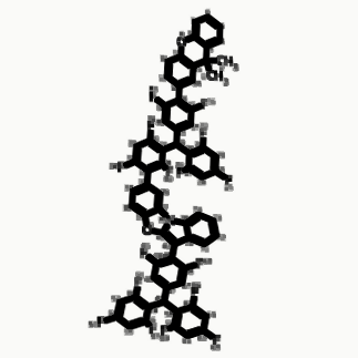 CC1(C)c2ccccc2Oc2ccc(-c3c(F)cc(C(c4c(F)cc(F)cc4F)c4c(F)cc(F)c(-c5ccc6oc7c(-c8c(F)cc(C(c9c(F)cc(F)cc9F)c9c(F)cc(F)cc9F)cc8F)c8ccccc8n7c6c5)c4F)cc3F)cc21